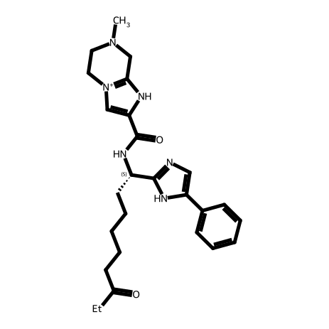 CCC(=O)CCCCC[C@H](NC(=O)c1c[n+]2c([nH]1)CN(C)CC2)c1ncc(-c2ccccc2)[nH]1